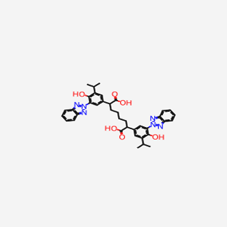 CC(C)c1cc(C(CCCCC(C(=O)O)c2cc(C(C)C)c(O)c(-n3nc4ccccc4n3)c2)C(=O)O)cc(-n2nc3ccccc3n2)c1O